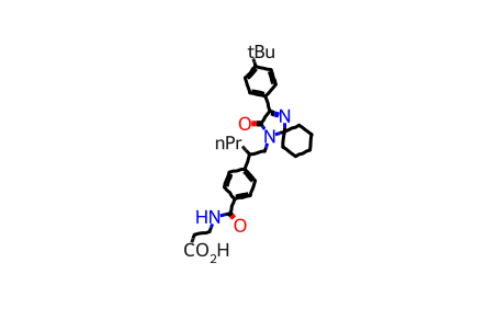 CCCC(CN1C(=O)C(c2ccc(C(C)(C)C)cc2)=NC12CCCCC2)c1ccc(C(=O)NCCC(=O)O)cc1